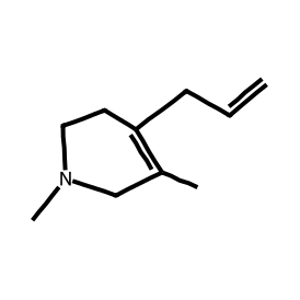 C=CCC1=C(C)CN(C)CC1